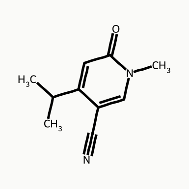 CC(C)c1cc(=O)n(C)cc1C#N